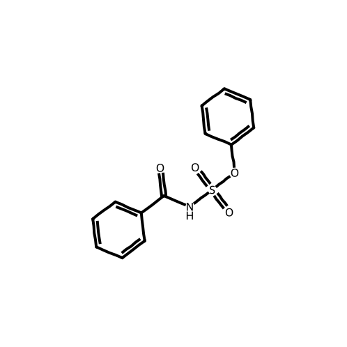 O=C(NS(=O)(=O)Oc1ccccc1)c1ccccc1